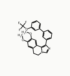 COc1cc2c(cc1OC)-c1c(-c3cccc(-c4cccc(OC(F)(F)F)c4)c3)ncn1CC2